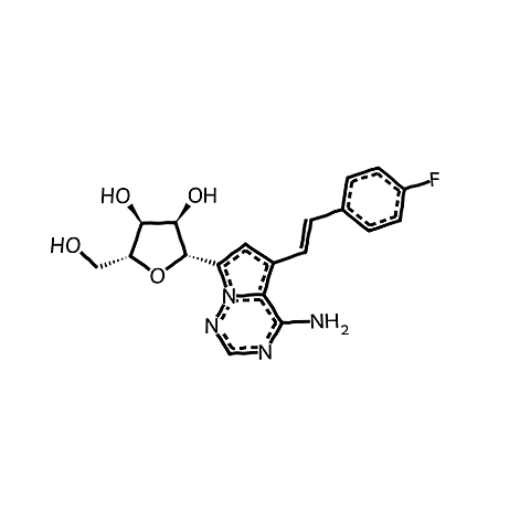 Nc1ncnn2c([C@@H]3O[C@H](CO)[C@@H](O)[C@H]3O)cc(/C=C/c3ccc(F)cc3)c12